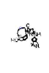 CN1Cc2cc(Nc3ncc4c(=O)n5n(c4n3)-c3ccc4c(c3)N(CCC/C=C\C5)C(O)C4)ccc2C(C)(C)C1